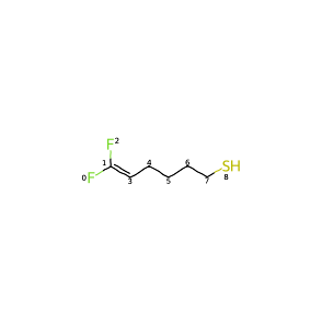 FC(F)=CCCCCS